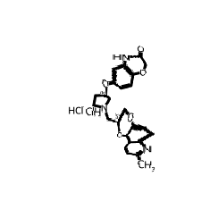 Cc1ccc2c3c(ccc2n1)OC[C@H](CN1CC[C@@H](Oc2ccc4c(c2)NC(=O)CO4)C1)O3.Cl.Cl